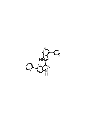 c1ccc(-c2ccc3[nH]nc(-c4cc5c(-c6ccsc6)cncc5[nH]4)c3n2)nc1